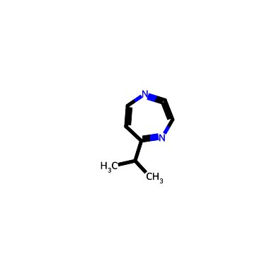 CC(C)C1=NC=C=NC=C1